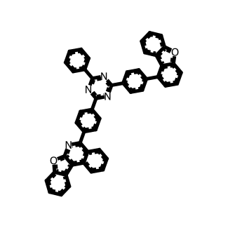 c1ccc(-c2nc(-c3ccc(-c4nc5oc6ccccc6c5c5ccccc45)cc3)nc(-c3ccc(-c4cccc5oc6ccccc6c45)cc3)n2)cc1